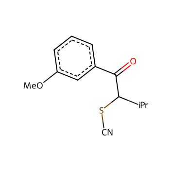 COc1cccc(C(=O)C(SC#N)C(C)C)c1